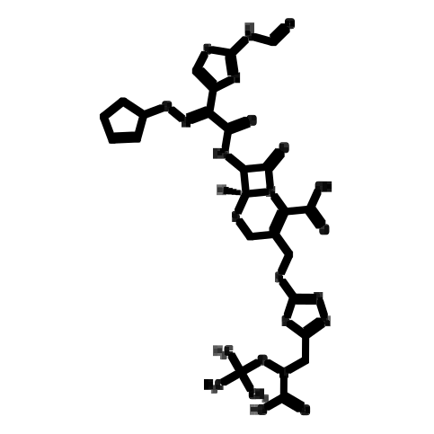 CC(C)(C)ON(Cc1nnc(SCC2=C(C(=O)O)N3C(=O)C(NC(=O)C(=NOC4C=CCC4)c4csc(NC=O)n4)[C@@H]3SC2)s1)C(=O)O